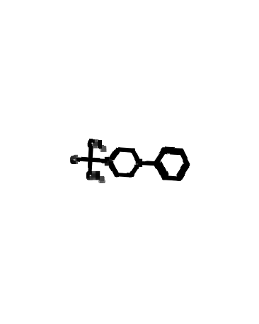 CC(C)(Cl)N1CCN(c2ccccc2)CC1